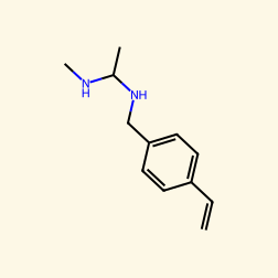 C=Cc1ccc(CNC(C)NC)cc1